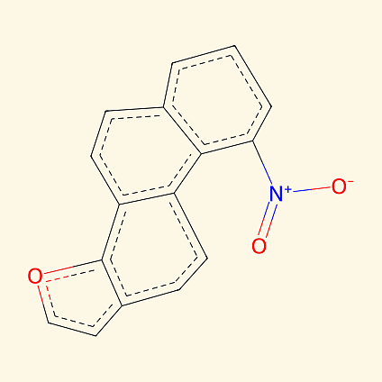 O=[N+]([O-])c1cccc2ccc3c(ccc4ccoc43)c12